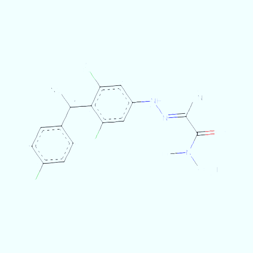 CCN(C(=O)O)C(=O)/C(C#N)=N/Nc1cc(Cl)c(C(C#N)c2ccc(Cl)cc2)c(Cl)c1